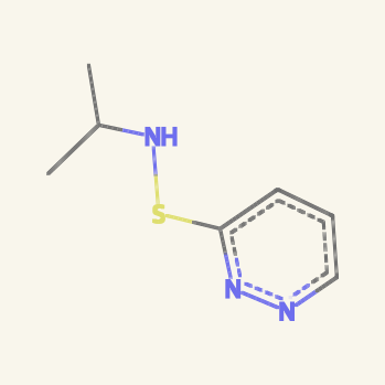 CC(C)NSc1cccnn1